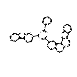 c1ccc(-c2nc(-c3ccc4c(c3)oc3ccccc34)nc(-c3ccc4ccc5ccc6c7ccccc7sc6c5c4c3)n2)cc1